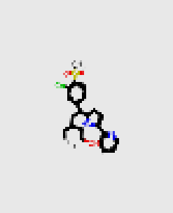 CCC(CCO)CC(c1ccc(S(C)(=O)=O)c(Cl)c1)C1CC=C(c2ccccn2)N1